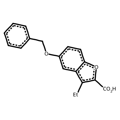 CCc1c(C(=O)O)oc2ccc(OCc3ccccc3)cc12